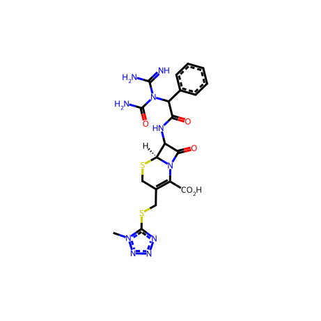 Cn1nnnc1SCC1=C(C(=O)O)N2C(=O)C(NC(=O)C(c3ccccc3)N(C(=N)N)C(N)=O)[C@@H]2SC1